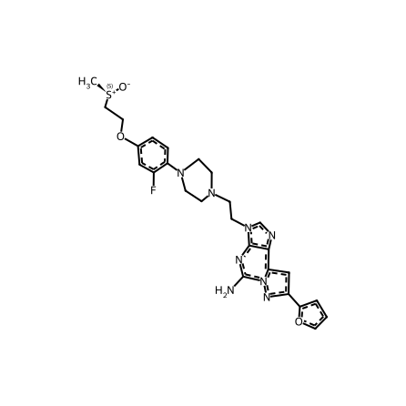 C[S@@+]([O-])CCOc1ccc(N2CCN(CCn3cnc4c3nc(N)n3nc(-c5ccco5)cc43)CC2)c(F)c1